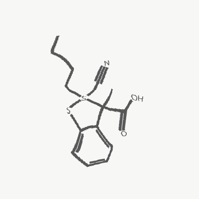 CCCCS1(C#N)Sc2ccccc2C1(C)C(=O)O